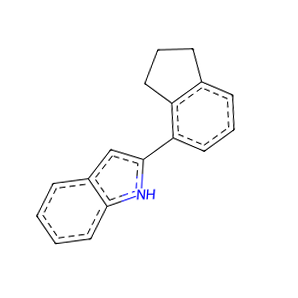 c1cc2c(c(-c3cc4ccccc4[nH]3)c1)CCC2